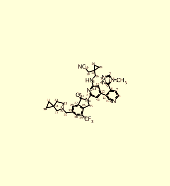 Cn1cnnc1-c1ccncc1-c1cc(NCC2(CC#N)CC2)nc(N2Cc3c(cc(CN4CCC5(CC5)C4)cc3C(F)(F)F)C2=O)c1